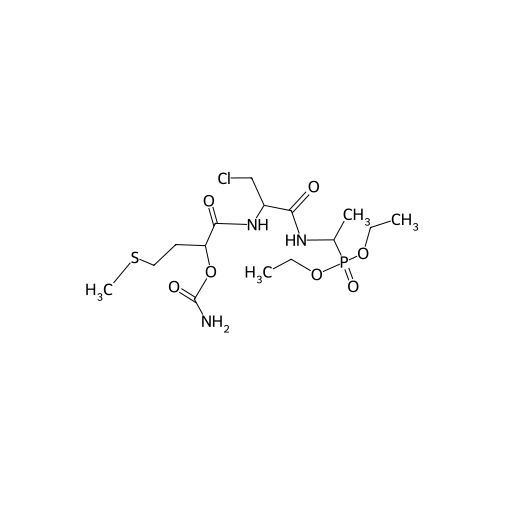 CCOP(=O)(OCC)C(C)NC(=O)C(CCl)NC(=O)C(CCSC)OC(N)=O